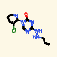 C=CCNNc1ncn(-c2ncccc2Cl)c(=O)n1